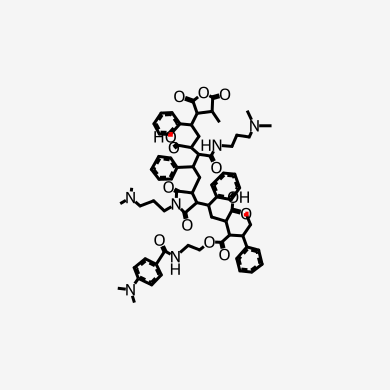 CCC(c1ccccc1)C(C(=O)OCCNC(=O)c1ccc(N(C)C)cc1)C(CC(c1ccccc1)C1C(=O)N(CCCN(C)C)C(=O)C1CC(c1ccccc1)C(C(=O)NCCCN(C)C)C(CC(c1ccccc1)C1C(=O)OC(=O)C1C)C(=O)O)C(=O)O